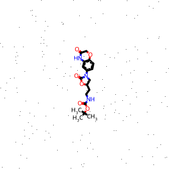 CC(C)(C)OC(=O)NCCC1CN(c2ccc3c(c2)NC(=O)CO3)C(=O)O1